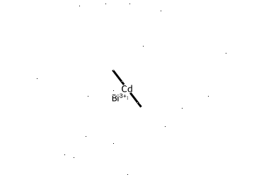 [Bi+3].[CH3][Cd][CH3]